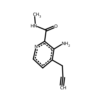 C#CCc1ccnc(C(=O)NC)c1N